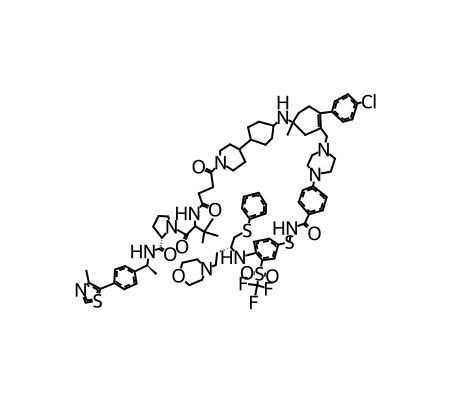 Cc1ncsc1-c1ccc([C@H](C)NC(=O)[C@@H]2CCCN2C(=O)C(NC(=O)CCC(=O)N2CCC(C3CCC(NC4(C)CCC(c5ccc(Cl)cc5)=C(CN5CCN(c6ccc(C(=O)NSc7ccc(N[C@H](CCN8CCOCC8)CSc8ccccc8)c(S(=O)(=O)C(F)(F)F)c7)cc6)CC5)C4)CC3)CC2)C(C)(C)C)cc1